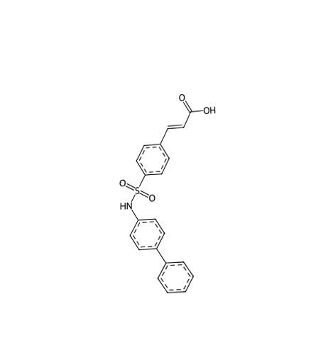 O=C(O)C=Cc1ccc(S(=O)(=O)Nc2ccc(-c3ccccc3)cc2)cc1